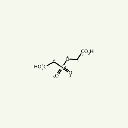 O=C(O)COS(=O)(=O)CC(=O)O